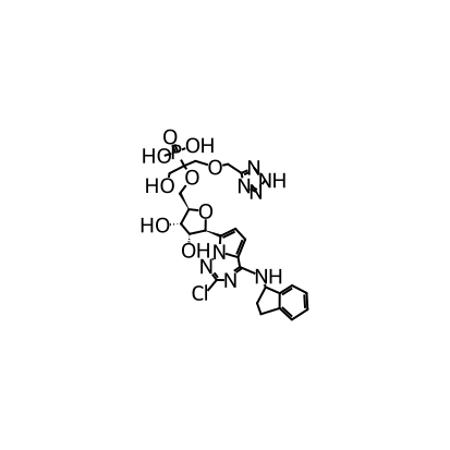 O=P(O)(O)C(CO)(COCc1nn[nH]n1)OC[C@H]1O[C@@H](c2ccc3c(N[C@@H]4CCc5ccccc54)nc(Cl)nn23)[C@H](O)[C@@H]1O